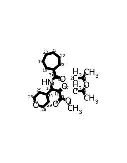 CC(C)OC(C)C.COC(=O)C(=O)C(NC(=O)C1CCCCCC1)C1CCOCC1